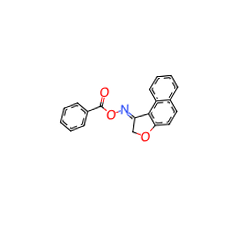 O=C(O/N=C1\COc2ccc3ccccc3c21)c1ccccc1